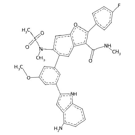 CNC(=O)c1c(-c2ccc(F)cc2)oc2cc(N(C)S(C)(=O)=O)c(-c3cc(OC)cc(-c4cc5c(N)cccc5[nH]4)c3)cc12